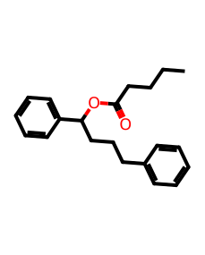 CCCCC(=O)OC(CCCc1ccccc1)c1ccccc1